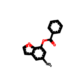 O=C(Oc1cc([N+](=O)[O-])cc2ccoc12)c1ccccc1